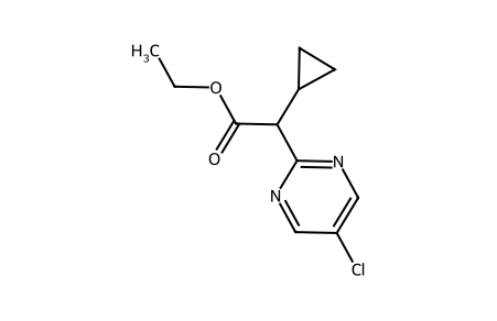 CCOC(=O)C(c1ncc(Cl)cn1)C1CC1